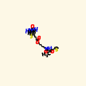 Cc1oc(-c2cccs2)cc1C(=O)NCCCCCCOC(=O)CCCC[C@@H]1SC[C@@H]2NC(=O)N[C@@H]21